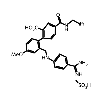 COc1ccc(-c2ccc(C(=O)NCC(C)C)cc2C(=O)O)c(CNc2ccc(C(=N)N)cc2)c1.CS(=O)(=O)O